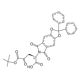 CC(C)(C)OC(=O)C(=O)C[C@H](C(=O)O)N1C(=O)c2cc3c(cc2C1=O)OC(c1ccccc1)(c1ccccc1)O3